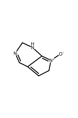 [O-][N+]1=C2NCN=CC2=CC1